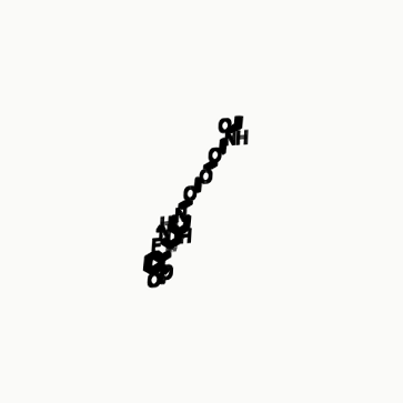 C=CC(=O)NCCOCCOCCOCCN1CC[C@@H]2C[C@H](Cc3c(F)ccc4c3OCO4)CN(C)[C@H]2C1